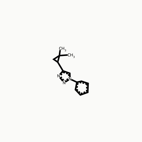 CC1(C)CC1c1cn(-c2ccccc2)nn1